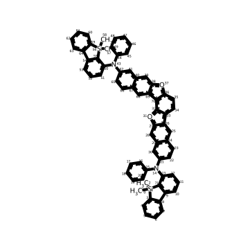 C[Si]1(C)c2ccccc2-c2cccc(N(c3ccccc3)c3ccc4cc5c(cc4c3)oc3c5ccc4oc5cc6cc(N(c7ccccc7)c7cccc8c7[Si](C)(C)c7ccccc7-8)ccc6cc5c43)c21